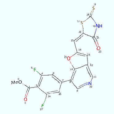 COC(=O)c1c(F)cc(-c2cncc3cc(C=C4SC(=S)NC4=O)oc23)cc1F